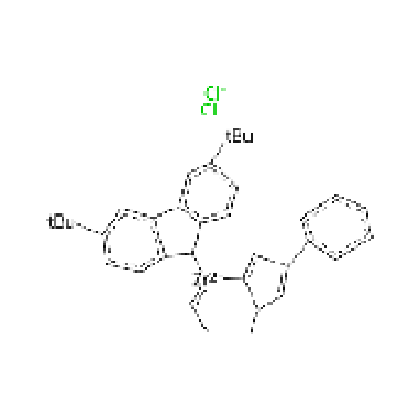 C[C](C)=[Zr+2]([C]1=CC(c2ccccc2)=CC1C)[CH]1c2ccc(C(C)(C)C)cc2-c2cc(C(C)(C)C)ccc21.[Cl-].[Cl-]